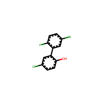 Oc1ccc(Cl)cc1-c1cc(Br)ccc1F